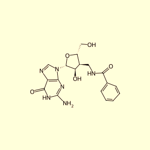 Nc1nc2c(ncn2[C@@H]2O[C@H](CO)[C@@H](CNC(=O)c3ccccc3)[C@H]2O)c(=O)[nH]1